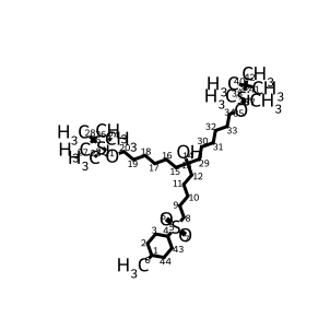 CC1CCC(S(=O)(=O)CCCCCC(O)(CCCCCCO[Si](C)(C)C(C)(C)C)CCCCCCO[Si](C)(C)C(C)(C)C)CC1